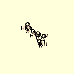 CN1CCC(OC(=O)C(Cc2cc(CI)c3[nH]ncc3c2)NC(=O)N2CCC(N3Cc4ccccc4NC3=O)CC2)CC1